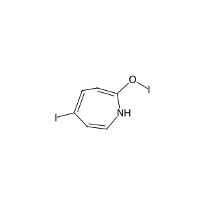 IOC1=CC=C(I)C=CN1